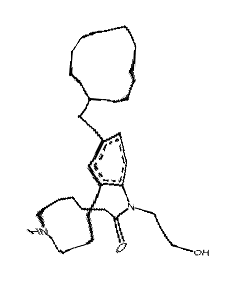 O=C1N(CCO)c2ccc(CC3CCCCCCC3)cc2C12CCNCC2